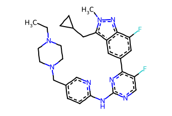 CCN1CCN(Cc2ccc(Nc3ncc(F)c(-c4cc(F)c5nn(C)c(CC6CC6)c5c4)n3)nc2)CC1